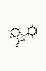 O=C1C[C@H](c2ccccc2)c2ccccc21